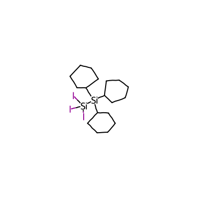 I[Si](I)(I)[Si](C1CCCCC1)(C1CCCCC1)C1CCCCC1